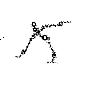 CSCSc1ncc(COCCOCCOCCn2cc(COCC(COCc3cn(CCOCCOCCOCc4cnc(SCSC)nc4)nn3)(NC3CCCC(C4CCCCCC4)C3)C(=O)NCC3C4CCc5nnn(CCOCCOCCOCc6cnc(SC[S+](C)C)nc6)c5CCC43)nn2)cn1